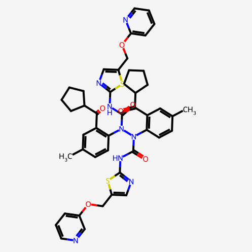 Cc1ccc(N(C(=O)Nc2ncc(COc3cccnc3)s2)N(C(=O)Nc2ncc(COc3ccccn3)s2)c2ccc(C)cc2C(=O)C2CCCC2)c(C(=O)C2CCCC2)c1